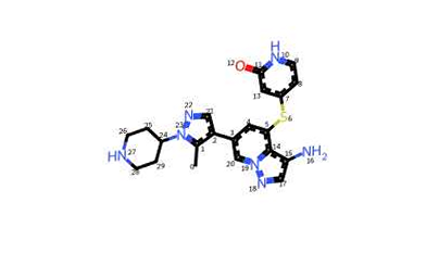 Cc1c(-c2cc(Sc3cc[nH]c(=O)c3)c3c(N)cnn3c2)cnn1C1CCNCC1